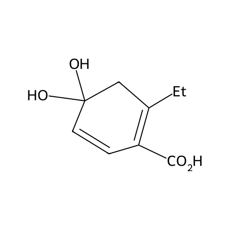 CCC1=C(C(=O)O)C=CC(O)(O)C1